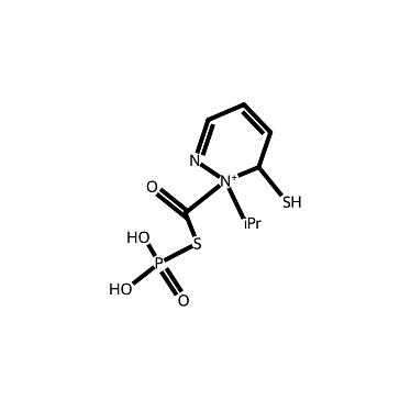 CC(C)[N+]1(C(=O)SP(=O)(O)O)N=CC=CC1S